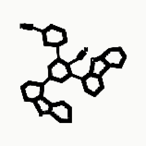 N#Cc1cccc(-c2cc(-c3cccc4sc5ccccc5c34)cc(-c3cccc4c3oc3ccccc34)c2C#N)c1